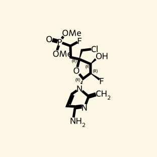 C=C1N=C(N)C=CN1[C@@H]1O[C@](CCl)(CC(F)P(=O)(OC)OC)[C@@H](O)[C@H]1F